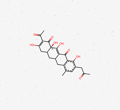 CC(=O)Cc1cc(C)c2c(c1O)C(=O)C1=C(O)[C@@]3(O)C(=O)C(C(C)=O)=C(O)CC3CC1C2